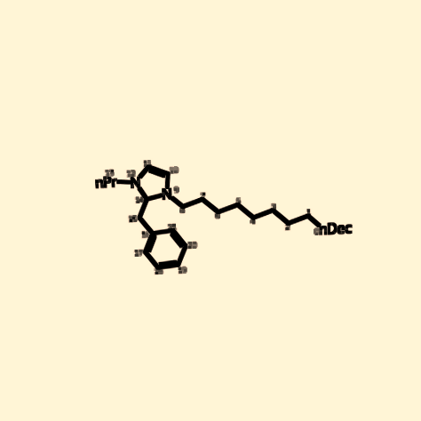 CCCCCCCCCCCCCCCCCCN1C=CN(CCC)C1Cc1ccccc1